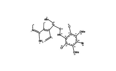 C=NC(=C(C)\C(N)=N/C)/C(=C\CCCC)ONc1c(Cl)c(OC)c(Br)c(OC)c1Cl